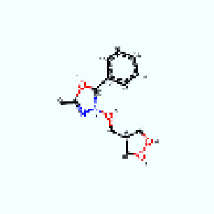 CC1=NN(OCC2COOC2)C(c2ccccc2)O1